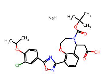 CC(C)Oc1ccc(-c2nc(-c3cccc4c3OCCN(C(=O)OC(C)(C)C)C4CC(=O)O)no2)cc1Cl.[NaH]